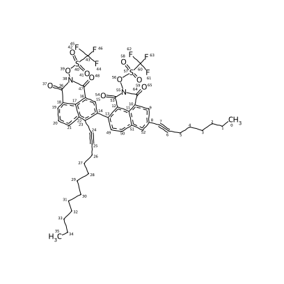 CCCCCCC#Cc1cc2c3c(c(-c4cc5c6c(cccc6c4C#CCCCCCCCCCC)C(=O)N(OS(=O)(=O)C(F)(F)F)C5=O)ccc3c1)C(=O)N(OS(=O)(=O)C(F)(F)F)C2=O